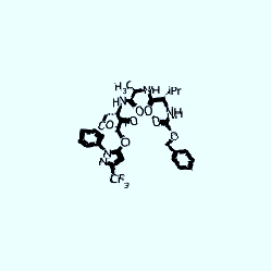 CC(C)[C@H](NC(=O)OCc1ccccc1)C(=O)N[C@@H](C)C(=O)N[C@@H](CC(=O)O)C(=O)COc1cc(C(F)(F)F)nn1-c1ccccc1